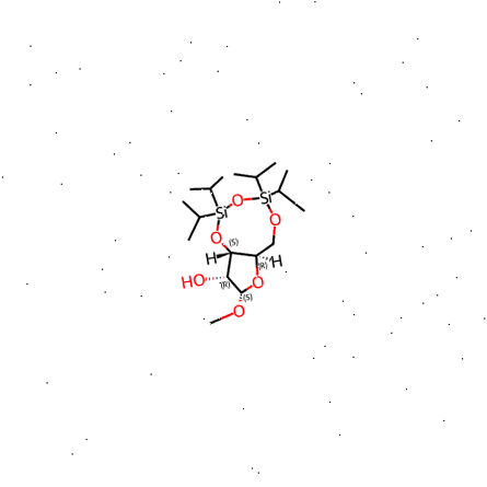 CO[C@H]1O[C@@H]2CO[Si](C(C)C)(C(C)C)O[Si](C(C)C)(C(C)C)O[C@H]2[C@H]1O